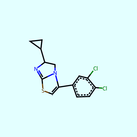 Clc1ccc(C2=[C]SC3=NC(C4CC4)CN23)cc1Cl